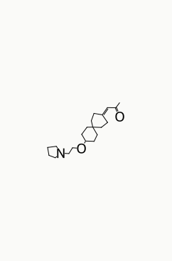 CC(=O)C=C1CCC2(CC1)CCC(OCCN1CCCC1)CC2